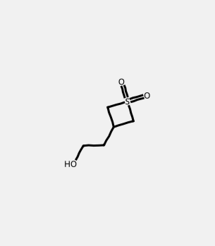 O=S1(=O)CC(CCO)C1